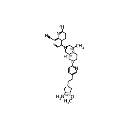 [2H]c1ccc2c(N3C[C@@H]4CN(c5ccc(CCN6C[C@H](OC)[C@@H](N)C6)cn5)CCN4[C@H](C)C3)ccc(C#N)c2n1